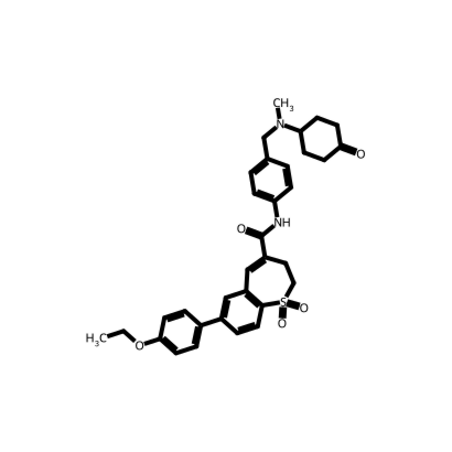 CCOc1ccc(-c2ccc3c(c2)C=C(C(=O)Nc2ccc(CN(C)C4CCC(=O)CC4)cc2)CCS3(=O)=O)cc1